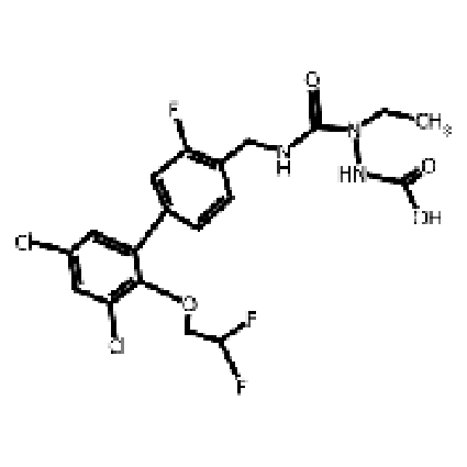 CCN(NC(=O)O)C(=O)NCc1ccc(-c2cc(Cl)cc(Cl)c2OCC(F)F)cc1F